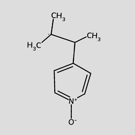 C[C](C)C(C)c1cc[n+]([O-])cc1